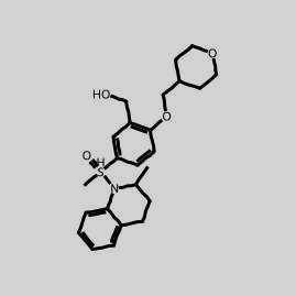 CC1CCc2ccccc2N1[SH](C)(=O)c1ccc(OCC2CCOCC2)c(CO)c1